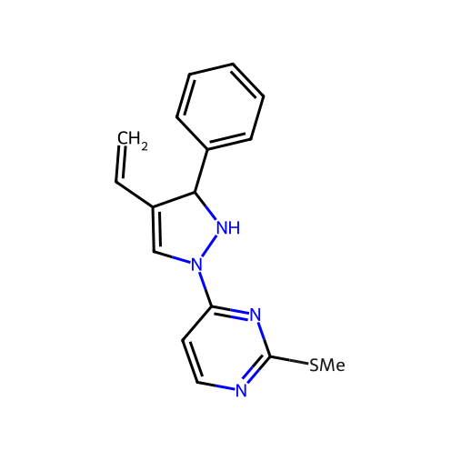 C=CC1=CN(c2ccnc(SC)n2)NC1c1ccccc1